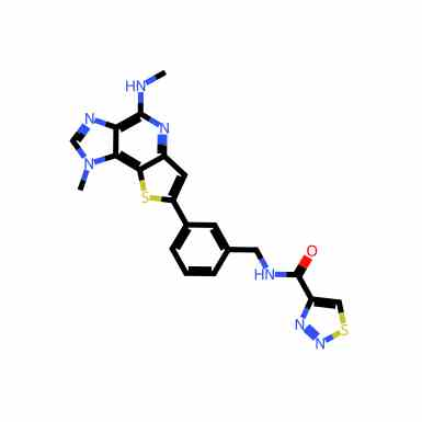 CNc1nc2cc(-c3cccc(CNC(=O)c4csnn4)c3)sc2c2c1ncn2C